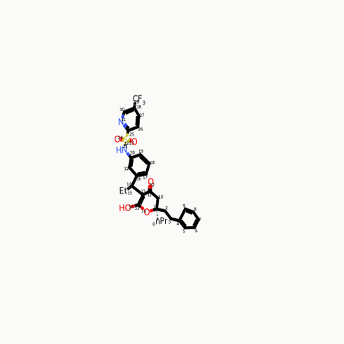 CCC[C@@]1(CCc2ccccc2)CC(=O)C(C(CC)c2cccc(NS(=O)(=O)c3ccc(C(F)(F)F)cn3)c2)=C(O)O1